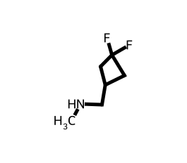 CNCC1CC(F)(F)C1